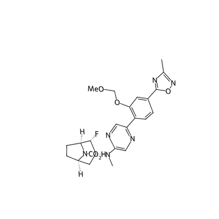 COCOc1cc(-c2nc(C)no2)ccc1-c1cnc(N(C)[C@@H]2C[C@H]3CC[C@@H]([C@@H]2F)N3C(=O)O)cn1